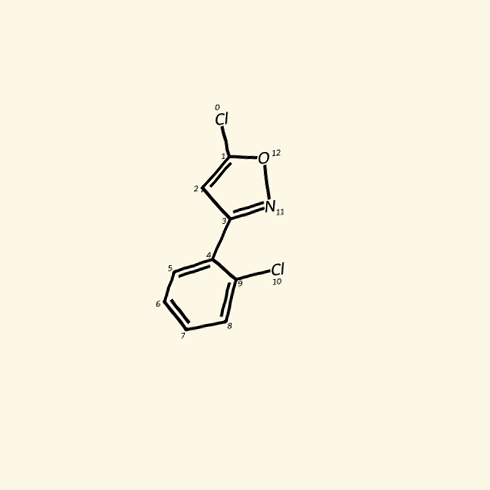 Clc1[c]c(-c2ccccc2Cl)no1